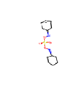 O=S(=O)(ON=C1CCCCC1)ON=C1CCCCC1